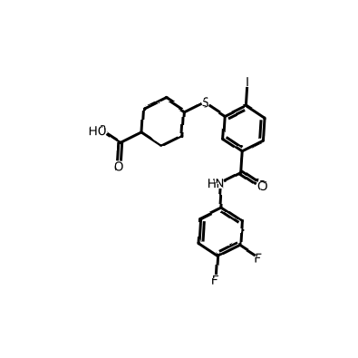 O=C(Nc1ccc(F)c(F)c1)c1ccc(I)c(SC2CCC(C(=O)O)CC2)c1